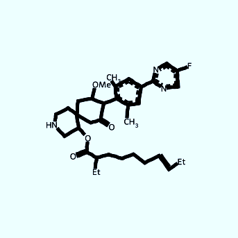 CCC=CCCCCC(CC)C(=O)OC1CNCCC12CC(=O)C(c1c(C)cc(-c3ncc(F)cn3)cc1C)C(OC)C2